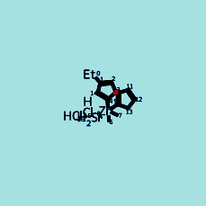 CCC1=CC[C]([Zr]([CH3])([CH3])(=[SiH2])[C]2=CC=CC2)=C1.Cl.Cl